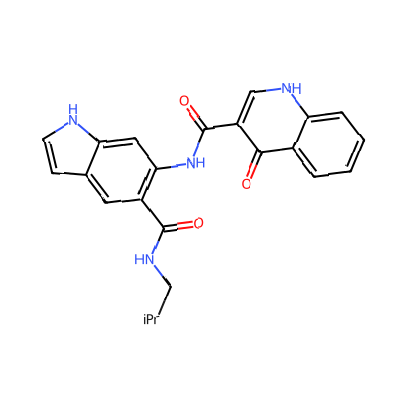 CC(C)CNC(=O)c1cc2cc[nH]c2cc1NC(=O)c1c[nH]c2ccccc2c1=O